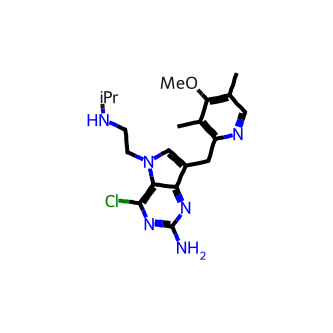 COc1c(C)cnc(Cc2cn(CCNC(C)C)c3c(Cl)nc(N)nc23)c1C